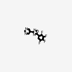 Fc1cc(-c2nc(-c3cncnc3)no2)c(F)c(F)c1F